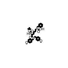 COc1ccc(CN(Cc2ccc(OC)cc2)C(=O)C(CCCCN(Cc2ccccc2)C(=O)O)NC(=O)OC(C)(C)C)cc1